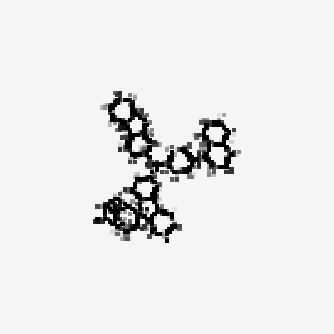 c1ccc2c(c1)-c1cc(N(c3ccc(-c4cccc5ccccc45)cc3)c3ccc4c(c3)sc3ccccc34)ccc1C21C2CC3CC(C2)CC1C3